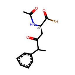 CC(=O)N[C@H](CC(=O)C(C)c1ccccc1)C(=O)S